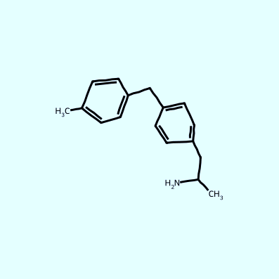 Cc1ccc(Cc2ccc(CC(C)N)cc2)cc1